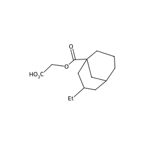 CCC1CC2CCCC(C(=O)OCC(=O)O)(C1)C2